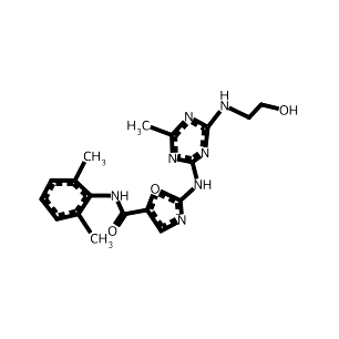 Cc1nc(NCCO)nc(Nc2ncc(C(=O)Nc3c(C)cccc3C)o2)n1